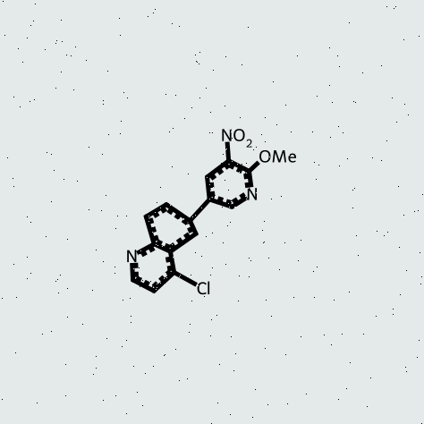 COc1ncc(-c2ccc3nccc(Cl)c3c2)cc1[N+](=O)[O-]